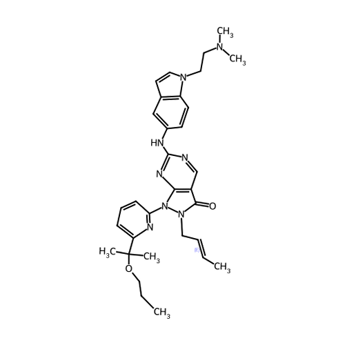 C/C=C/Cn1c(=O)c2cnc(Nc3ccc4c(ccn4CCN(C)C)c3)nc2n1-c1cccc(C(C)(C)OCCC)n1